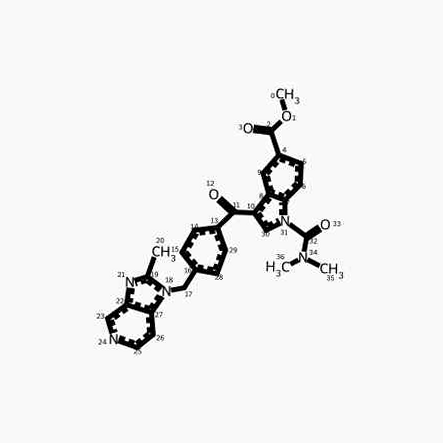 COC(=O)c1ccc2c(c1)c(C(=O)c1ccc(Cn3c(C)nc4cnccc43)cc1)cn2C(=O)N(C)C